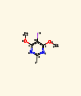 CCOc1nc(C)nc(OCC)c1I